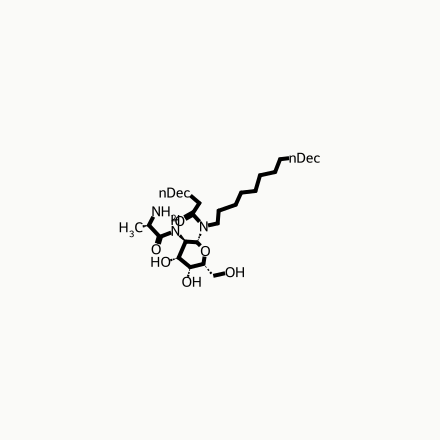 CCCCCCCCCCCCCCCCCCN(C(=O)CCCCCCCCCCC)[C@@H]1O[C@H](CO)[C@H](O)[C@H](O)[C@H]1NC(=O)[C@H](C)N